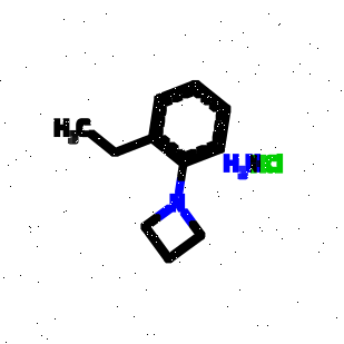 CCc1ccccc1N1CCC1.Cl.N